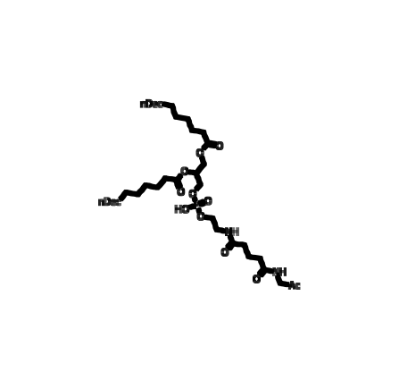 CCCCCCCCCCCCCCCC(=O)OCC(COP(=O)(O)OCCNC(=O)CCCC(=O)NCC(C)=O)OC(=O)CCCCCCCCCCCCCCC